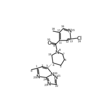 Cc1cc([C@H]2CCCN(C(=O)c3cc(Cl)ncc3C)C2)n2ncnc2n1